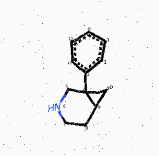 c1ccc(C23CNCCC2C3)cc1